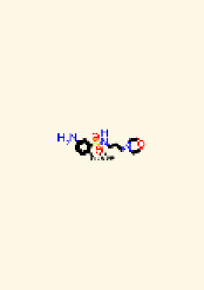 CNc1ccc(N)cc1S(=O)(=O)NCCCN1CCOCC1